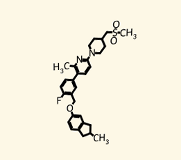 Cc1nc(N2CCC(CS(C)(=O)=O)CC2)ccc1-c1ccc(F)c(COc2ccc3c(c2)CC(C)C3)c1